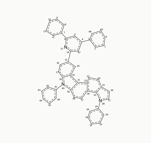 c1ccc(-c2cc(-c3ccccc3)nc(-c3ccc4c(c3)c3c5ccc6ccn(-c7ccccc7)c6c5ccc3n4-c3ccccc3)c2)cc1